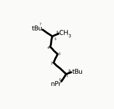 CCCC(C[CH]CC(C)C(C)(C)C)C(C)(C)C